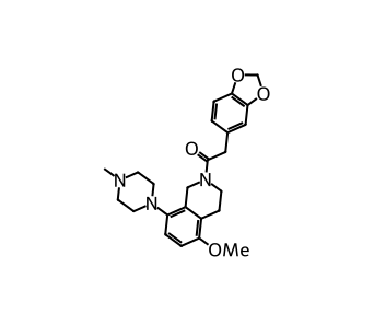 COc1ccc(N2CCN(C)CC2)c2c1CCN(C(=O)Cc1ccc3c(c1)OCO3)C2